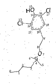 CCCC[Si](C)(C)OCCc1cc(Cl)c(O)c(Cl)c1